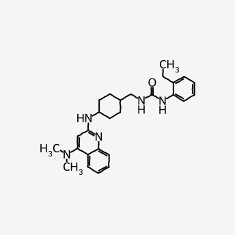 CCc1ccccc1NC(=O)NCC1CCC(Nc2cc(N(C)C)c3ccccc3n2)CC1